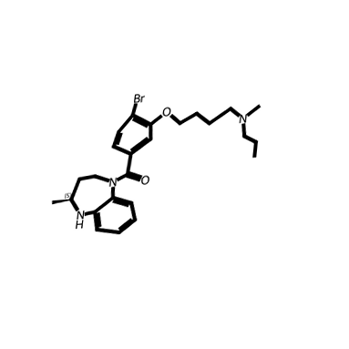 CCCN(C)CCCCOc1cc(C(=O)N2CC[C@H](C)Nc3ccccc32)ccc1Br